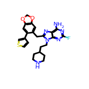 Nc1nc(F)nc2c1nc(Cc1cc3c(cc1-c1ccsc1)OCO3)n2CCC1CCNCC1